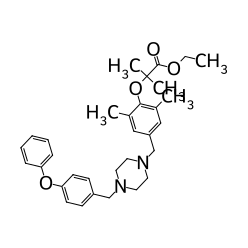 CCOC(=O)C(C)(C)Oc1c(C)cc(CN2CCN(Cc3ccc(Oc4ccccc4)cc3)CC2)cc1C